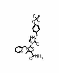 CC1=C(C(N)=O)SC(n2cnn(Cc3ccc(OC(F)(F)F)cc3)c2=O)N1Cc1ccccn1